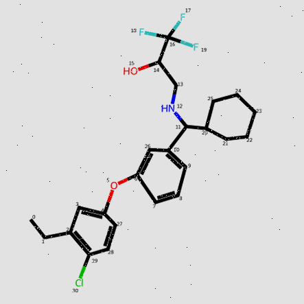 CCc1cc(Oc2cccc(C(NCC(O)C(F)(F)F)C3CCCCC3)c2)ccc1Cl